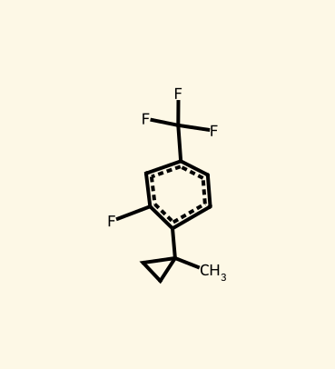 CC1(c2ccc(C(F)(F)F)cc2F)CC1